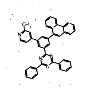 Cc1cc(-c2cc(-c3nc(-c4ccccc4)nc(-c4ccccc4)n3)cc(-c3cc4ccccc4c4ccccc34)c2)ccn1